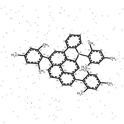 Cc1cc(C)c(B2c3ccccc3-c3cc(-c4c(C)cc(C)cc4C)c4ccc5ccc(-c6c(C)cc(C)cc6C)c6cc2c3c4c56)c(C)c1